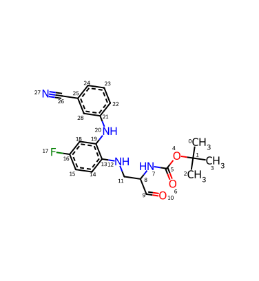 CC(C)(C)OC(=O)NC(C=O)CNc1ccc(F)cc1Nc1cccc(C#N)c1